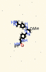 COc1cnc(-c2ccc3cc(C(=O)NC(C)C)[nH]c3c2)nc1Nc1ccc(-c2cn[nH]c2)cc1